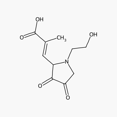 CC(=CC1C(=O)C(=O)CN1CCO)C(=O)O